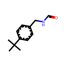 CC(C)(C)c1ccc(CN[C]=O)cc1